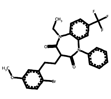 CCN1C(=O)C(CCc2cc(OC)ccc2Br)C(=O)N(c2ccccc2)c2cc(C(F)(F)F)ccc21